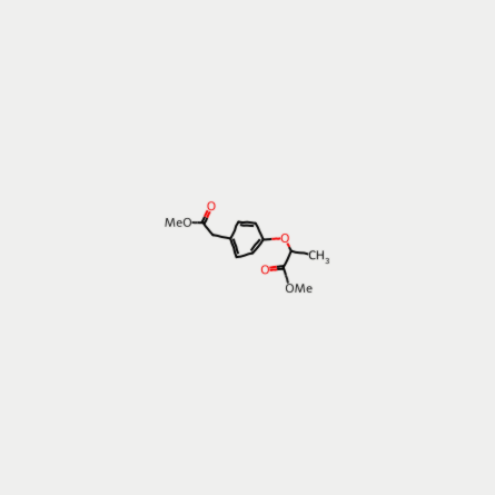 COC(=O)Cc1ccc(OC(C)C(=O)OC)cc1